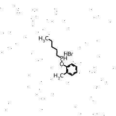 Br.CCCCCPOc1ccccc1C